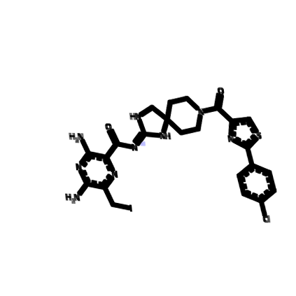 Nc1nc(N)c(C(=O)/N=C2\NCC3(CCN(C(=O)c4csc(-c5ccc(Cl)cc5)n4)CC3)N2)nc1CI